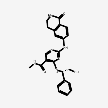 CNC(=O)c1cnc(Nc2ccc3c(c2)CCNC3=O)nc1N[C@H](CO)c1ccccc1